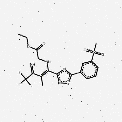 CCOC(=O)CN/C(=C(/C)C(=N)C(F)(F)F)c1nsc(-c2cccc(S(C)(=O)=O)c2)n1